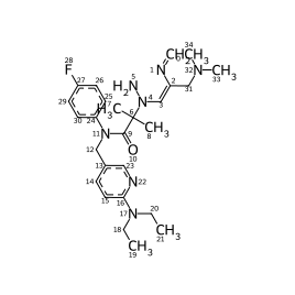 C=N/C(=C\N(N)C(C)(C)C(=O)N(Cc1ccc(N(CC)CC)nc1)c1ccc(F)cc1)CN(C)C